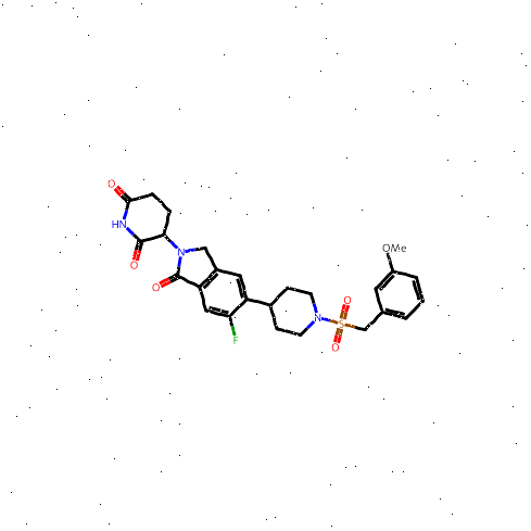 COc1cccc(CS(=O)(=O)N2CCC(c3cc4c(cc3F)C(=O)N(C3CCC(=O)NC3=O)C4)CC2)c1